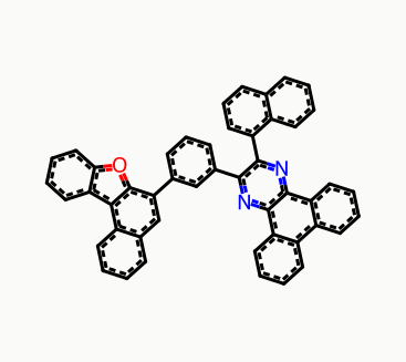 c1cc(-c2nc3c4ccccc4c4ccccc4c3nc2-c2cccc3ccccc23)cc(-c2cc3ccccc3c3c2oc2ccccc23)c1